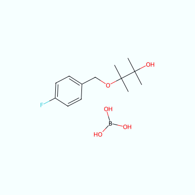 CC(C)(O)C(C)(C)OCc1ccc(F)cc1.OB(O)O